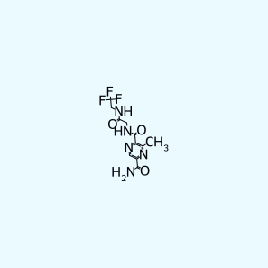 Cc1nc(C(N)=O)cnc1C(=O)NCC(=O)NCC(F)(F)F